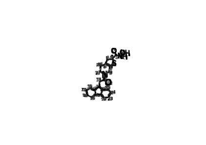 O=C(NO)c1cc2c(s1)CN(C(=O)CC1c3ccccc3-c3ccccc31)CC2